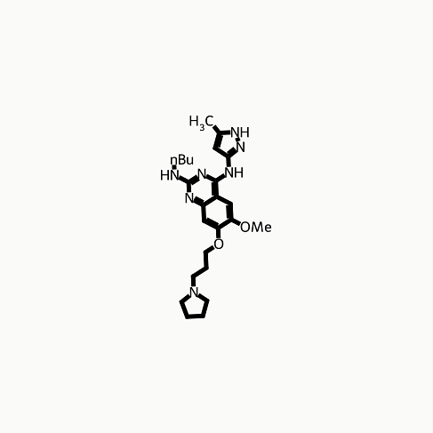 CCCCNc1nc(Nc2cc(C)[nH]n2)c2cc(OC)c(OCCCN3CCCC3)cc2n1